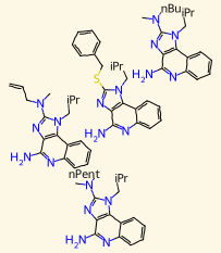 C=CCN(C)c1nc2c(N)nc3ccccc3c2n1CC(C)C.CC(C)Cn1c(SCc2ccccc2)nc2c(N)nc3ccccc3c21.CCCCCN(C)c1nc2c(N)nc3ccccc3c2n1CC(C)C.CCCCN(C)c1nc2c(N)nc3ccccc3c2n1CC(C)C